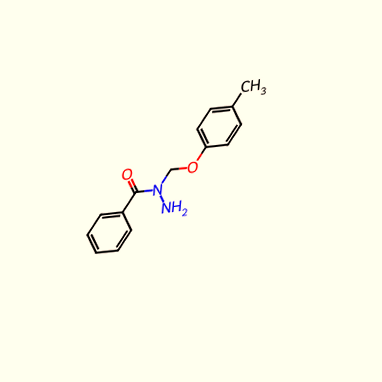 Cc1ccc(OCN(N)C(=O)c2ccccc2)cc1